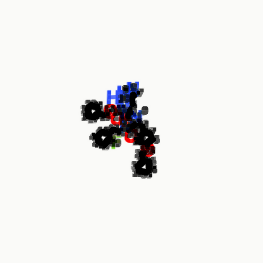 CN(C(=O)[C@H](Cc1cnc[nH]1)NC(=O)OCc1ccccc1)[C@@H](Cc1ccc(OCc2ccccc2)cc1)C(=O)NCCc1ccccc1F